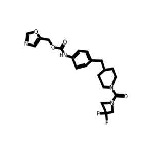 O=C(Nc1ccc(CC2CCN(C(=O)N3CC(F)(F)C3)CC2)cc1)OCc1cnco1